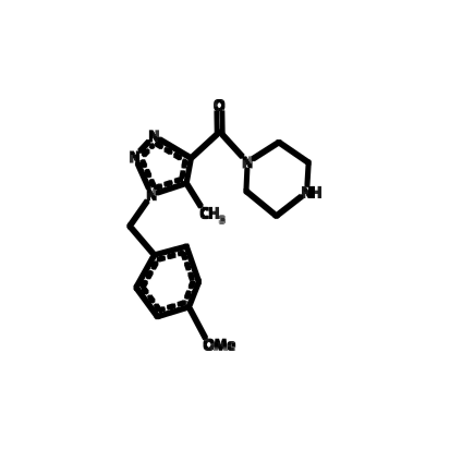 COc1ccc(Cn2nnc(C(=O)N3CCNCC3)c2C)cc1